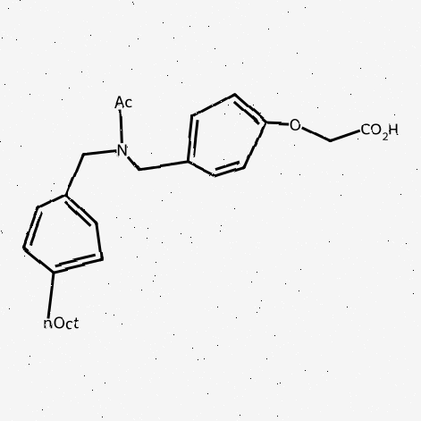 CCCCCCCCc1ccc(CN(Cc2ccc(OCC(=O)O)cc2)C(C)=O)cc1